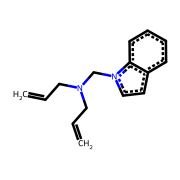 C=CCN(CC=C)Cn1ccc2ccccc21